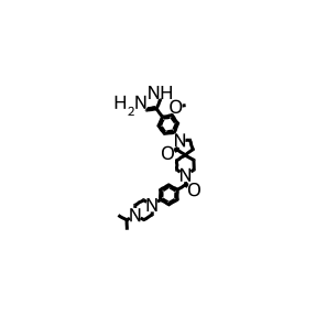 COc1cc(N2CCC3(CCN(C(=O)c4ccc(N5CCN(C(C)C)CC5)cc4)CC3)C2=O)ccc1/C(C=N)=C/N